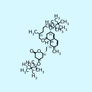 CCC[C@H](C)CO[C@H]1C[C@H](O[Si](C)(C)C(C)(C)C)C=C2C=C[C@@H](C)[C@H](CC[C@@H]3C[C@@H](O[Si](C)(C)C(C)(C)C)CC(=O)O3)[C@H]21